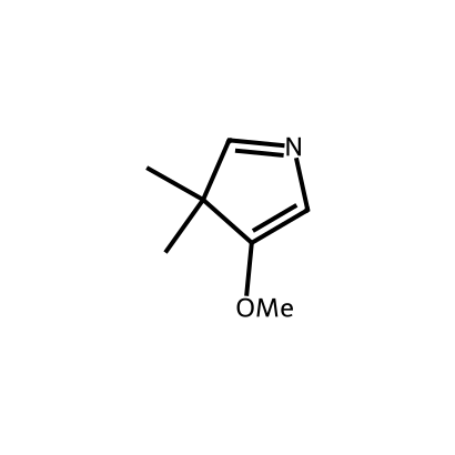 COC1=CN=CC1(C)C